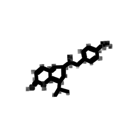 CC(C)c1cc(NCc2ccc(N)cc2)cc2ccc(=O)oc12